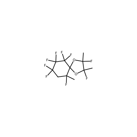 CC1(F)CC(F)(F)C(F)(F)C(F)(F)C12OC(C)(F)C(C)(F)O2